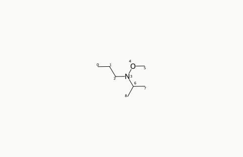 CCCN(OC)C(C)C